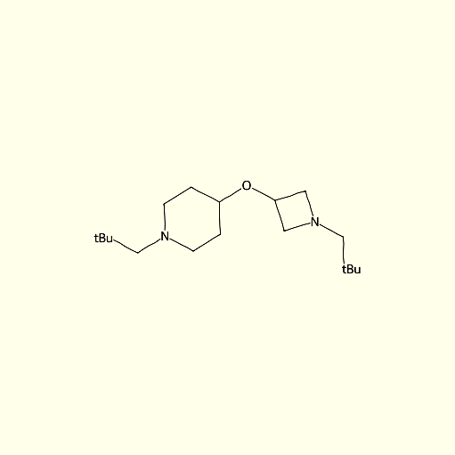 CC(C)(C)CN1CCC(OC2CN(CC(C)(C)C)C2)CC1